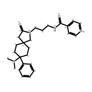 CN(C)C1(c2ccccc2)CCC2(CC1)CC(=O)N(CCCNC(=O)c1ccncc1)C2